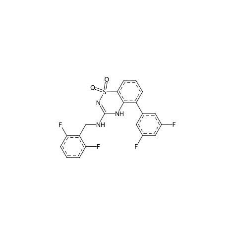 O=S1(=O)N=C(NCc2c(F)cccc2F)Nc2c(-c3cc(F)cc(F)c3)cccc21